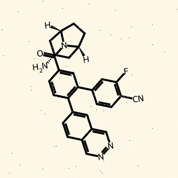 N#Cc1ccc(-c2cc(C(=O)N3[C@@H]4CC[C@H]3C[C@@H](N)C4)ccc2-c2ccc3cnncc3c2)cc1F